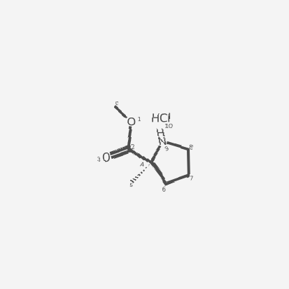 COC(=O)[C@]1(C)CCCN1.Cl